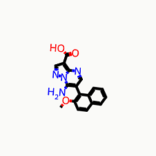 COc1ccc2ccccc2c1-c1cnc2c(C(=O)O)cnn2c1N